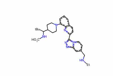 CCNCc1ccn2c(-c3ccc4cccc(N5CCC(C(NC(=O)O)C(C)(C)C)CC5)c4n3)nnc2c1